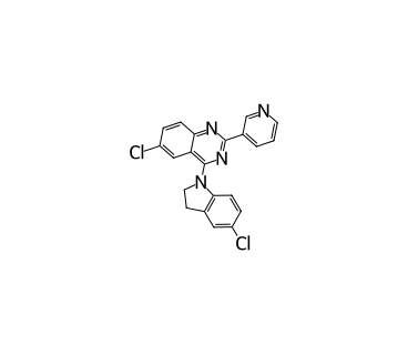 Clc1ccc2c(c1)CCN2c1nc(-c2cccnc2)nc2ccc(Cl)cc12